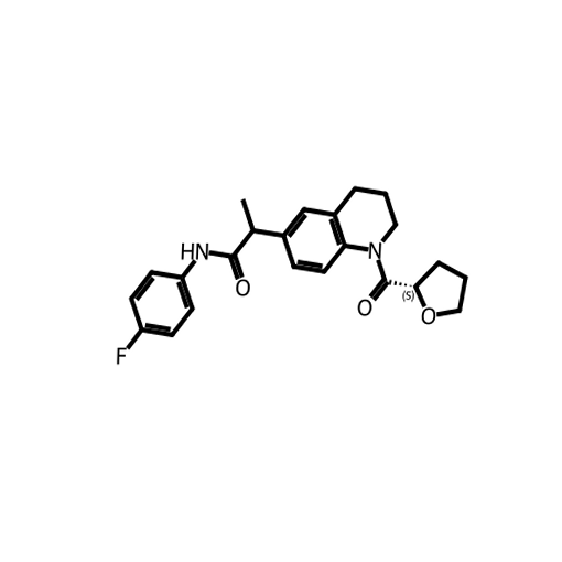 CC(C(=O)Nc1ccc(F)cc1)c1ccc2c(c1)CCCN2C(=O)[C@@H]1CCCO1